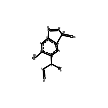 O=CC(Br)c1cc2c(cc1Cl)N=CC2=O